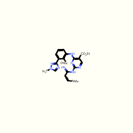 CCOC(=O)c1cnc(NC(=N)/C=C\NC)nc1Nc1cccc(-c2ncn(C)n2)c1OC